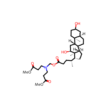 COC(=O)CCN(CCC(=O)OC)COC(=O)CC[C@@H](C)[C@H]1CC[C@H]2[C@@H]3CC[C@@H]4CC(O)CC[C@]4(C)[C@H]3C[C@H](O)[C@]12C